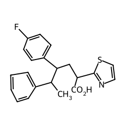 CC(c1ccccc1)C(CC(C(=O)O)c1nccs1)c1ccc(F)cc1